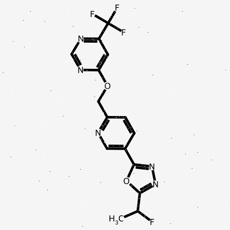 CC(F)c1nnc(-c2ccc(COc3cc(C(F)(F)F)ncn3)nc2)o1